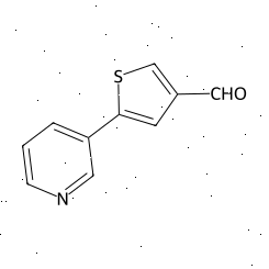 O=Cc1csc(-c2cccnc2)c1